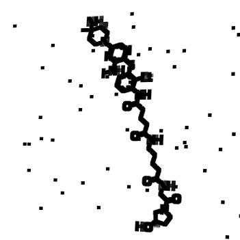 CCc1c(NC(=O)CCCC(=O)NCCCCC(=O)NCC(=O)N2CC[C@@H](O)C2)cccc1Sc1ncc(N2CCC(C)(N)CC2)nc1NI